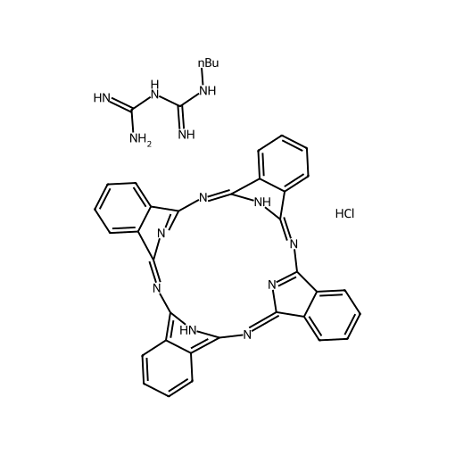 CCCCNC(=N)NC(=N)N.Cl.c1ccc2c(c1)-c1nc-2nc2[nH]c(nc3nc(nc4[nH]c(n1)c1ccccc41)-c1ccccc1-3)c1ccccc21